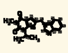 CC(C)n1c(=O)n(C)c(=O)c2cc(Cn3cnc4ccccc43)sc21